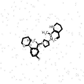 C=CC1=C(N(C)O[C@@H]2CCN([C@H](C(=O)O)c3cc(F)ccc3[C@@H]3CCCCO3)C2)NCCC1